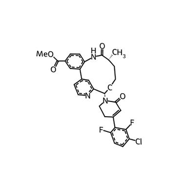 COC(=O)c1ccc2c(c1)-c1ccnc(c1)[C@@H](N1CCC(c3c(F)ccc(Cl)c3F)=CC1=O)CCC[C@@H](C)C(=O)N2